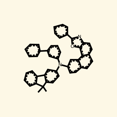 CC1(C)c2ccccc2-c2cc(N(c3cccc(-c4ccccc4)c3)c3ccc4ccc5ccc6nc(-c7ccccc7)oc6c5c4c3)ccc21